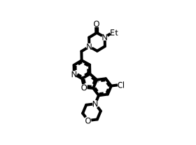 CCN1CCN(Cc2cnc3oc4c(N5CCOCC5)cc(Cl)cc4c3c2)CC1=O